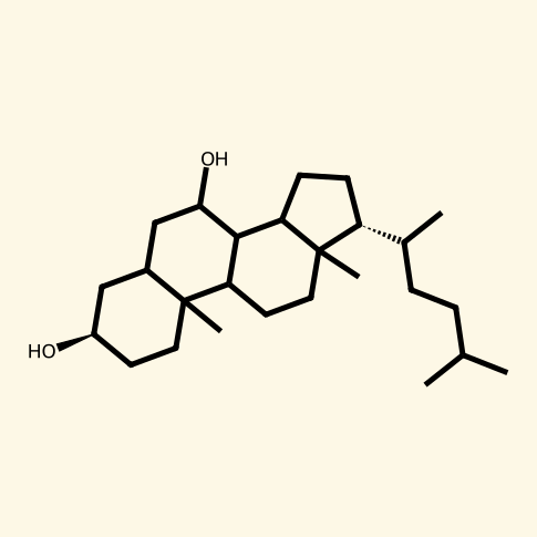 CC(C)CCC(C)[C@H]1CCC2C3C(O)CC4C[C@H](O)CCC4(C)C3CCC21C